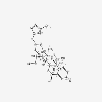 Cc1ccc(CN2C[C@@H]3C[C@H]4[C@@H]5C[C@H](F)C6=CC(=O)C=C[C@]6(C)[C@@]5(F)[C@@H](O)C[C@]4(C)[C@]3(C(=O)SCF)O2)s1